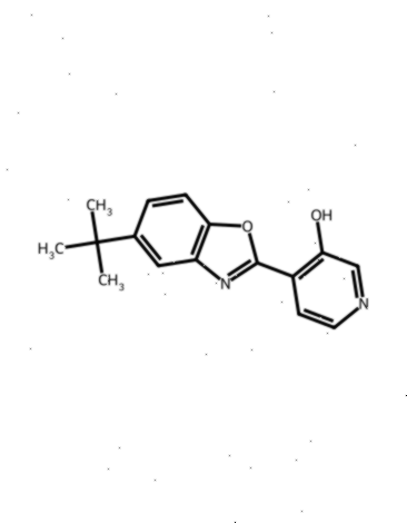 CC(C)(C)c1ccc2oc(-c3ccncc3O)nc2c1